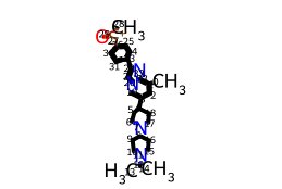 Cc1cc(C2CCN(C3CCN(C(C)C)CC3)CC2)cn2cc(-c3ccc([S+](C)[O-])cc3)nc12